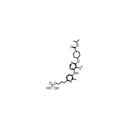 COc1c(Nc2ccc(CCCOP(=O)(O)O)nc2C)ncnc1OC1CCN(C(=O)OC(C)C)CC1